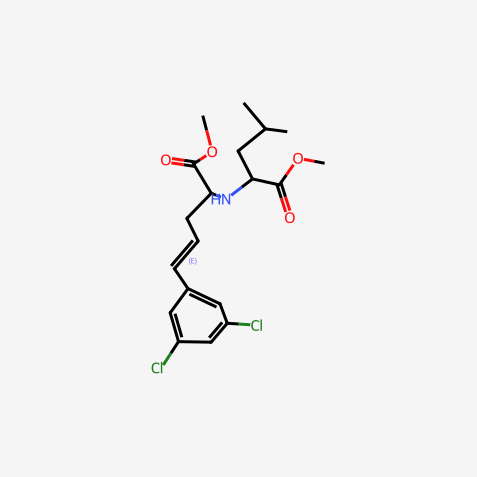 COC(=O)C(C/C=C/c1cc(Cl)cc(Cl)c1)NC(CC(C)C)C(=O)OC